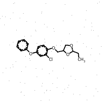 CCC1OCC(COc2ccc(Oc3ccccc3)cc2Cl)O1